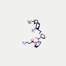 CCn1c(CC[C@@H]2CCCN2C(=O)[C@H]2CCCN2C(=O)CCN)cc2ccc(C#N)cc21